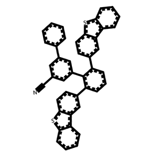 N#Cc1cc(-c2ccccc2)cc(-c2c(-c3ccc4sc5ccccc5c4c3)cccc2-c2ccc3sc4ccccc4c3c2)c1